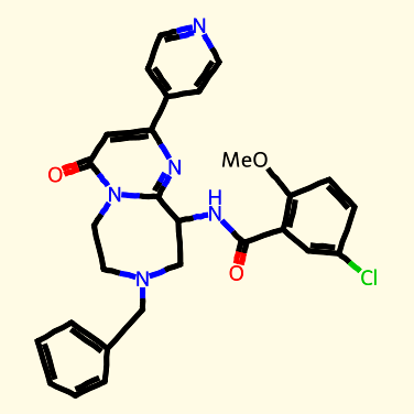 COc1ccc(Cl)cc1C(=O)NC1CN(Cc2ccccc2)CCn2c1nc(-c1ccncc1)cc2=O